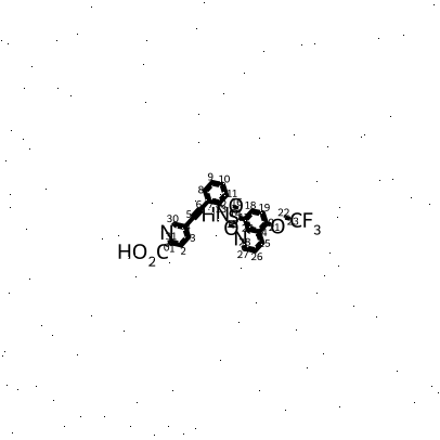 O=C(O)c1ccc(C#Cc2ccccc2NS(=O)(=O)c2ccc(OCC(F)(F)F)c3cccnc23)cn1